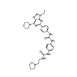 CCn1nnc2c(N3CCOCC3)nc(-c3ccc(NC(=O)Nc4ccc(NC(=O)NCCN5CCCC5)cc4)cc3)nc21